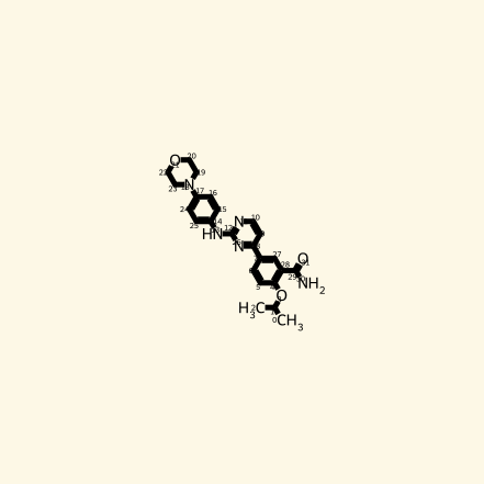 CC(C)Oc1ccc(-c2ccnc(Nc3ccc(N4CCOCC4)cc3)n2)cc1C(N)=O